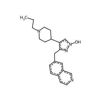 CCCN1CCC(c2cn(O)nc2Cc2ccc3ccncc3c2)CC1